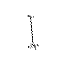 CCC(C)(C)C(=O)CCCCCCCCCCCCCCCCCCC(=O)O